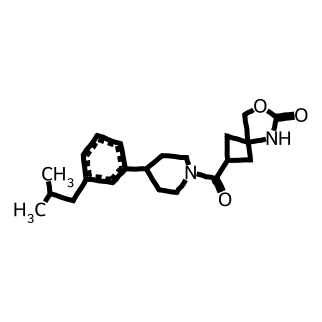 CC(C)Cc1cccc(C2CCN(C(=O)C3CC4(COC(=O)N4)C3)CC2)c1